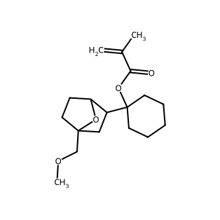 C=C(C)C(=O)OC1(C2CC3(COC)CCC2O3)CCCCC1